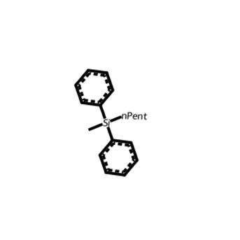 [CH2]CCCC[Si](C)(c1ccccc1)c1ccccc1